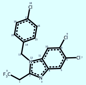 FC(F)(F)Cc1nc2cc(Cl)c(Cl)cc2n1Cc1ccc(Cl)cc1